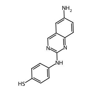 Nc1ccc2nc(Nc3ccc(S)cc3)ncc2c1